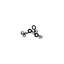 COC(=O)/C=C/c1cccc(N(Cc2ccc(Br)cc2)C(=O)C2CCCCC2)c1